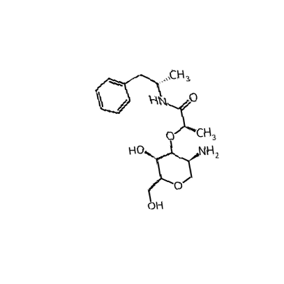 C[C@@H](Cc1ccccc1)NC(=O)[C@@H](C)OC1[C@H](O)C(CO)OC[C@@H]1N